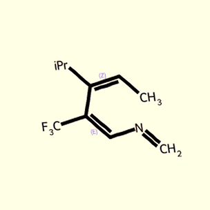 C=N/C=C(\C(=C/C)C(C)C)C(F)(F)F